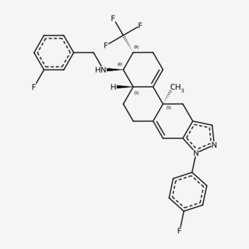 C[C@]12Cc3cnn(-c4ccc(F)cc4)c3C=C1CC[C@H]1C2=CC[C@@H](C(F)(F)F)[C@@H]1NCc1cccc(F)c1